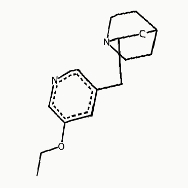 CCOc1cncc(CC2CC3CCN2CC3)c1